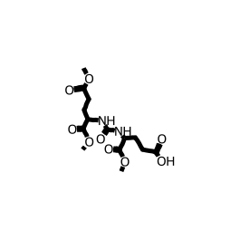 COC(=O)CCC(NC(=O)NC(CCC(=O)O)C(=O)OC)C(=O)OC